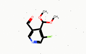 COC(OC)c1c(F)cncc1C=O